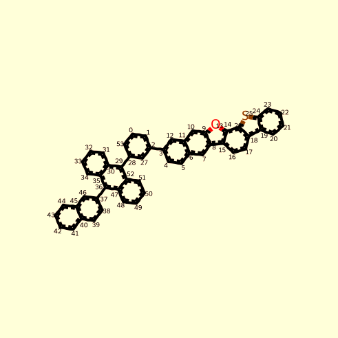 c1cc(-c2ccc3cc4c(cc3c2)oc2c4ccc3c4ccccc4sc32)cc(-c2c3ccccc3c(-c3ccc4ccccc4c3)c3ccccc23)c1